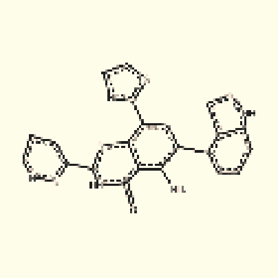 Nc1c(-c2cccc3[nH]ncc23)cc(-c2nccs2)c2nc(-c3cccnn3)[nH]c(=O)c12